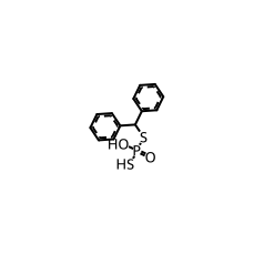 O=P(O)(S)SC(c1ccccc1)c1ccccc1